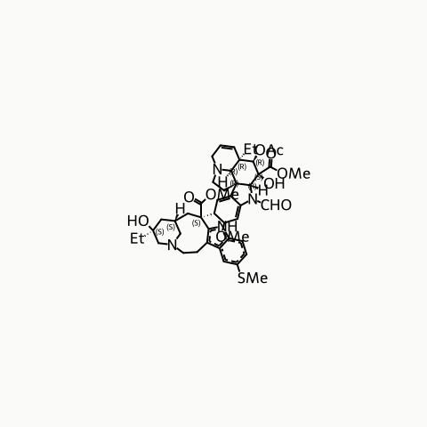 CC[C@]1(O)C[C@H]2CN(CCc3c([nH]c4ccc(SC)cc34)[C@@](C(=O)OC)(C3C=C4C(=CC3OC)N(C=O)[C@H]3[C@@](O)(C(=O)OC)[C@H](OC(C)=O)[C@]5(CC)C=CCN6CC[C@]43[C@@H]65)C2)C1